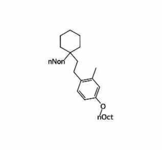 CCCCCCCCCC1(CCc2ccc(OCCCCCCCC)cc2C)CCCCC1